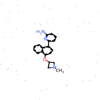 CN1CC(Oc2ccc(-c3cccc(N)n3)c3ccccc23)C1